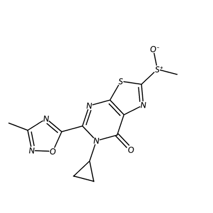 Cc1noc(-c2nc3sc([S+](C)[O-])nc3c(=O)n2C2CC2)n1